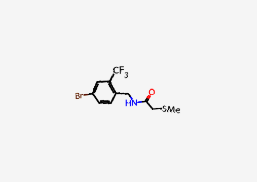 CSCC(=O)NCc1ccc(Br)cc1C(F)(F)F